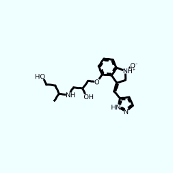 CC(CCO)NCC(O)COc1cccc2c1C(=Cc1ccn[nH]1)C[NH+]2[O-]